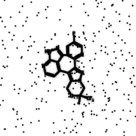 Cc1n[nH]c2nccc(-c3c(-c4ccc(F)cn4)nn4c3CO[C@](C)(C(F)(F)F)C4)c12